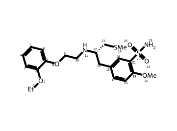 CCOc1ccccc1OCCN[C@H](CSC)Cc1ccc(OC)c(S(N)(=O)=O)c1